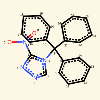 O=[N+]([O-])c1nncn1C(c1ccccc1)(c1ccccc1)c1ccccc1